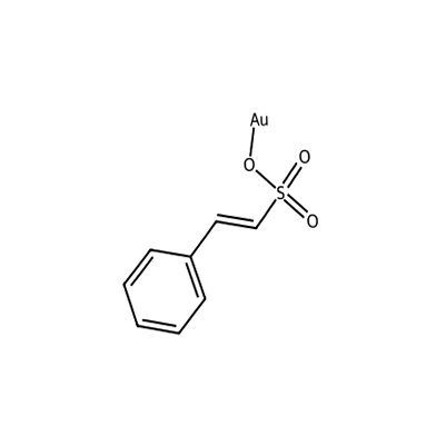 O=S(=O)(C=Cc1ccccc1)[O][Au]